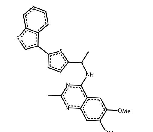 COc1cc2nc(C)nc(NC(C)c3ccc(-c4csc5ccccc45)s3)c2cc1OC